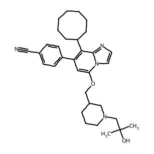 CC(C)(O)CN1CCCC(COc2cc(-c3ccc(C#N)cc3)c(C3CCCCCCC3)c3nccn23)C1